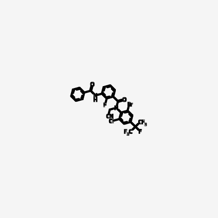 N#CCN(C(=O)c1cccc(NC(=O)c2ccccc2)c1F)c1c(Cl)cc(C(F)(C(F)(F)F)C(F)(F)F)cc1Br